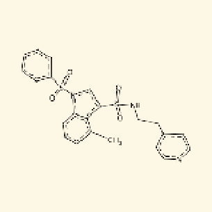 Cc1cccc2c1c(S(=O)(=O)NCCc1ccncc1)cn2S(=O)(=O)c1ccccc1